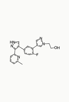 Cc1cccc(-c2n[nH]cc2-c2ccc(F)c(-c3cnn(CCO)c3)c2)n1